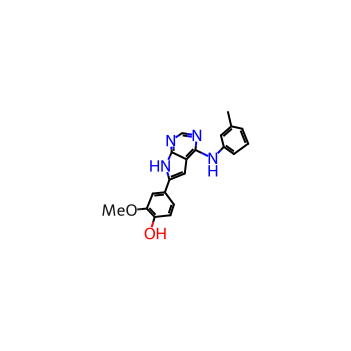 COc1cc(-c2cc3c(Nc4cccc(C)c4)ncnc3[nH]2)ccc1O